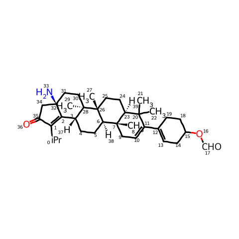 CC(C)C1=C2[C@H]3CC[C@@H]4[C@@]5(C)CC=C(C6=CCC(OC=O)CC6)C(C)(C)[C@@H]5CC[C@@]4(C)[C@]3(C)CC[C@@]2(N)CC1=O